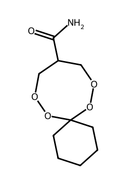 NC(=O)C1COOC2(CCCCC2)OOC1